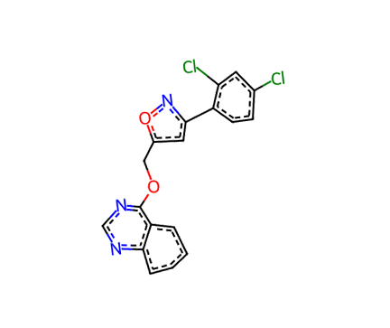 Clc1ccc(-c2cc(COc3ncnc4ccccc34)on2)c(Cl)c1